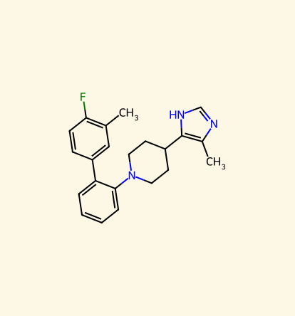 Cc1cc(-c2ccccc2N2CCC(c3[nH]cnc3C)CC2)ccc1F